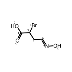 O=C(O)C(Br)CC=NO